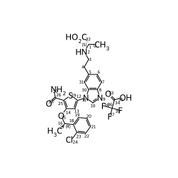 C[C@H](NCCc1ccc2ncn(-c3cc(O[C@H](C)c4ccccc4Cl)c(C(N)=O)s3)c2c1)C(=O)O.O=C(O)C(F)(F)F